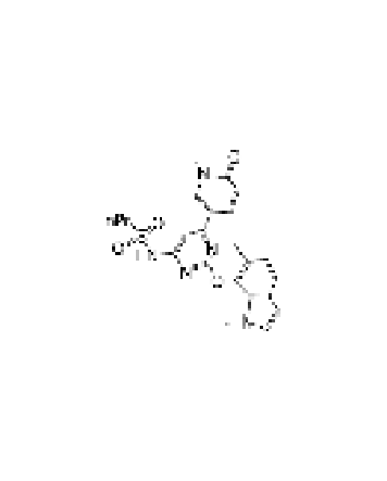 CCCS(=O)(=O)Nc1cc(-c2ccc(=O)n(C)c2)nc(Oc2c(C)ccc3ccn(C)c23)n1